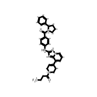 O=C(CCC(F)(F)F)N1CC=C(c2cccn3nc(Nc4ccc(C(=O)N5CCCC5c5ccccc5)cc4)nc23)CC1